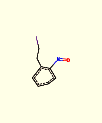 O=Nc1ccccc1CCI